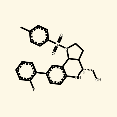 Cc1ccc(S(=O)(=O)N2CCC3C2c2cc(-c4ccccc4F)ccc2N[C@H]3CO)cc1